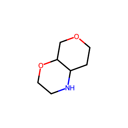 C1COC2COCCC2N1